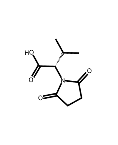 CC(C)[C@@H](C(=O)O)N1C(=O)CCC1=O